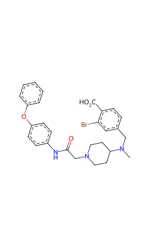 CN(Cc1ccc(C(=O)O)c(Br)c1)C1CCN(CC(=O)Nc2ccc(Oc3ccccc3)cc2)CC1